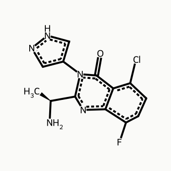 C[C@H](N)c1nc2c(F)ccc(Cl)c2c(=O)n1-c1cn[nH]c1